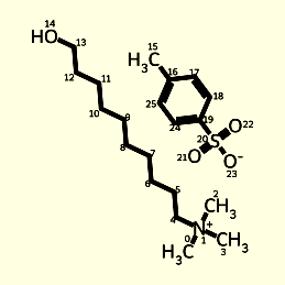 C[N+](C)(C)CCCCCCCCCCO.Cc1ccc(S(=O)(=O)[O-])cc1